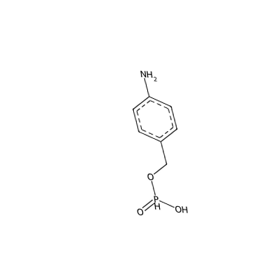 Nc1ccc(CO[PH](=O)O)cc1